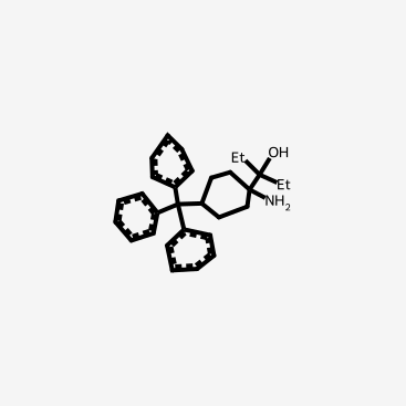 CCC(O)(CC)C1(N)CCC(C(c2ccccc2)(c2ccccc2)c2ccccc2)CC1